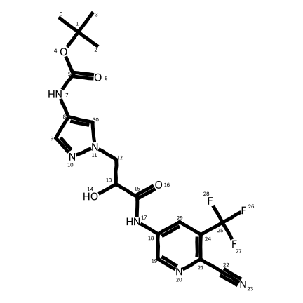 CC(C)(C)OC(=O)Nc1cnn(CC(O)C(=O)Nc2cnc(C#N)c(C(F)(F)F)c2)c1